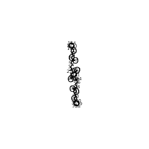 CC(C)(CCCC(=O)OCCOc1ccccc1)C1=CC(=O)C(C(C)(C)CCCC(=O)OCCOc2ccccc2)=CC1=O